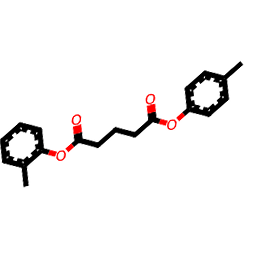 Cc1ccc(OC(=O)CCCC(=O)Oc2ccccc2C)cc1